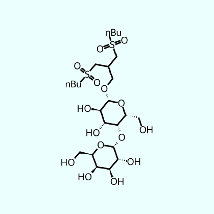 CCCCS(=O)(=O)CC(CO[C@@H]1O[C@H](CO)[C@H](O[C@H]2O[C@H](CO)[C@H](O)[C@H](O)[C@H]2O)[C@H](O)[C@H]1O)CS(=O)(=O)CCCC